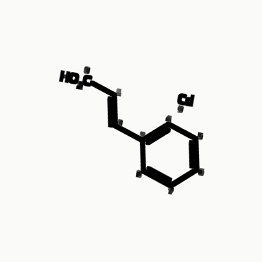 O=C(O)C=Cc1ccccc1.[Cd]